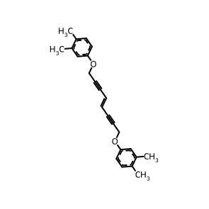 Cc1ccc(OCC#CC=CC#CCOc2ccc(C)c(C)c2)cc1C